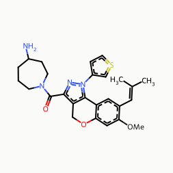 COc1cc2c(cc1C=C(C)C)-c1c(c(C(=O)N3CCCC(N)CC3)nn1-c1ccsc1)CO2